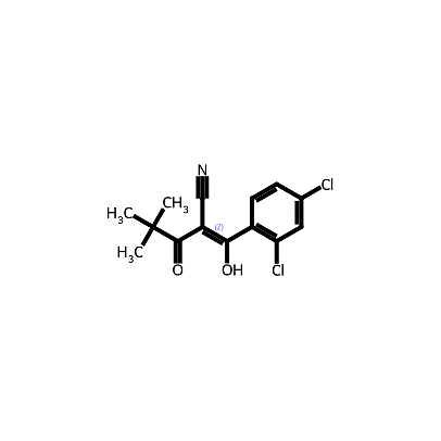 CC(C)(C)C(=O)/C(C#N)=C(\O)c1ccc(Cl)cc1Cl